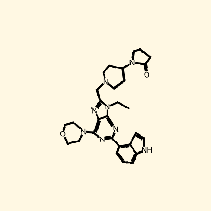 CCn1c(CN2CCC(N3CCCC3=O)CC2)nc2c(N3CCOCC3)nc(-c3cccc4[nH]ccc34)nc21